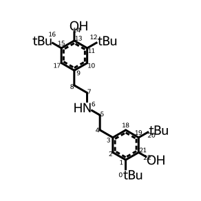 CC(C)(C)c1cc(CCNCCc2cc(C(C)(C)C)c(O)c(C(C)(C)C)c2)cc(C(C)(C)C)c1O